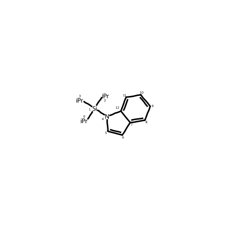 CC(C)[Si](C(C)C)(C(C)C)n1ccc2ccccc21